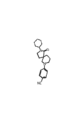 N#Cc1ccc(N2CCCC3(CCN(C4CCCCC4)C3=O)C2)cc1